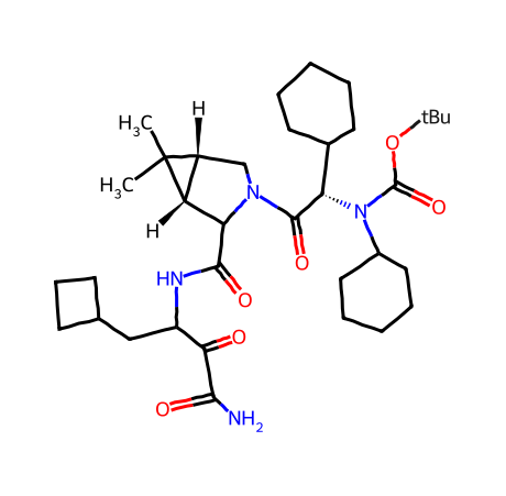 CC(C)(C)OC(=O)N(C1CCCCC1)[C@H](C(=O)N1C[C@@H]2[C@H](C1C(=O)NC(CC1CCC1)C(=O)C(N)=O)C2(C)C)C1CCCCC1